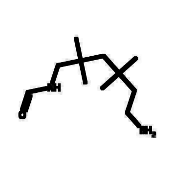 BCCC(C)(C)CC(C)(C)CNC=O